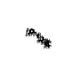 C[C@@H]1[C@H]2C[C@@H](C[C@H]1Nc1cnn(CC(=O)NCc3ccc(F)c(C(F)(F)F)c3)c(=O)c1Br)C2(C)C